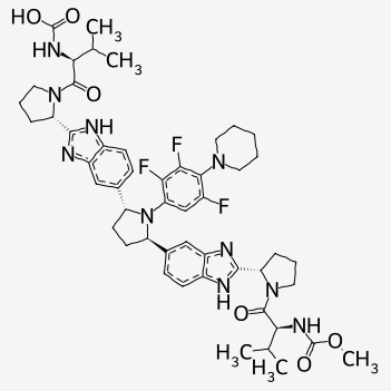 COC(=O)N[C@H](C(=O)N1CCC[C@H]1c1nc2cc([C@H]3CC[C@H](c4ccc5[nH]c([C@@H]6CCCN6C(=O)[C@@H](NC(=O)O)C(C)C)nc5c4)N3c3cc(F)c(N4CCCCC4)c(F)c3F)ccc2[nH]1)C(C)C